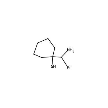 CCC(N)C1(S)CCCCC1